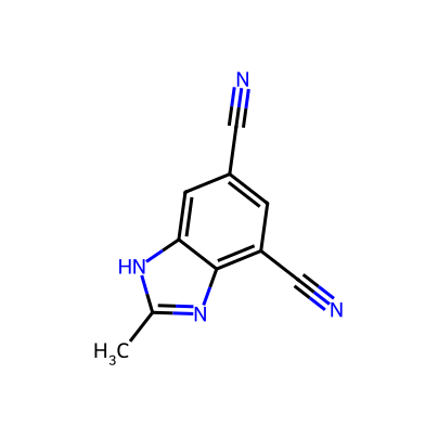 Cc1nc2c(C#N)cc(C#N)cc2[nH]1